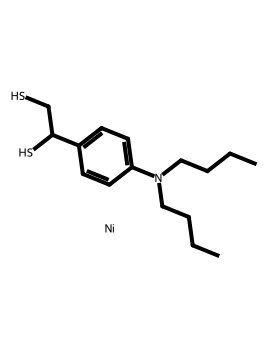 CCCCN(CCCC)c1ccc(C(S)CS)cc1.[Ni]